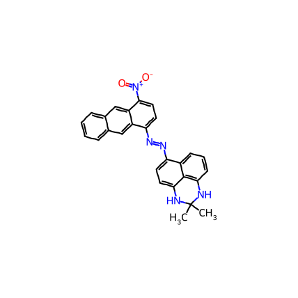 CC1(C)Nc2cccc3c(N=Nc4ccc([N+](=O)[O-])c5cc6ccccc6cc45)ccc(c23)N1